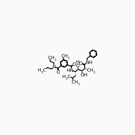 CCCN(CCC)C(=O)c1cc(C)cc(C(=O)N[C@@H](CC(C)C)[C@@H](O)[C@H](O)[C@@H](C)C(=O)NCc2ccccc2)c1